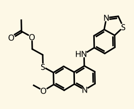 COc1cc2nccc(Nc3ccc4scnc4c3)c2cc1SCCOC(C)=O